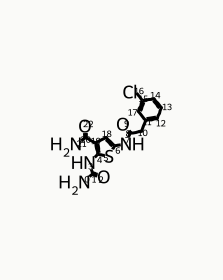 NC(=O)Nc1sc(NC(=O)Cc2cccc(Cl)c2)cc1C(N)=O